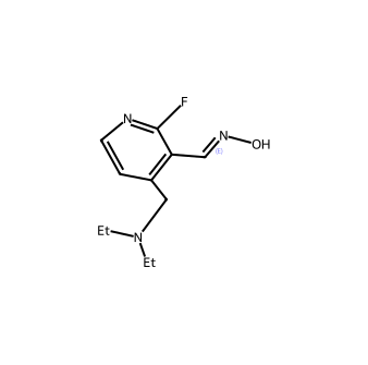 CCN(CC)Cc1ccnc(F)c1/C=N/O